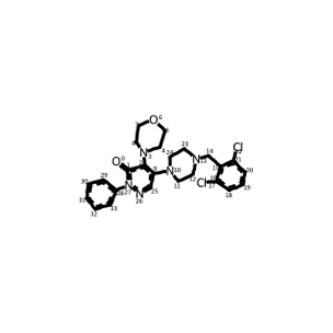 O=c1c(N2CCOCC2)c(N2CCN(Cc3c(Cl)cccc3Cl)CC2)cnn1-c1ccccc1